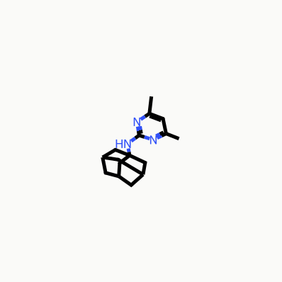 Cc1cc(C)nc(NC23CC4CC(CC(C4)C2)C3)n1